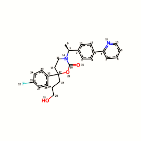 C[C@@H](c1ccc(-c2ccccn2)cc1)N1CCC(CCCO)(c2ccc(F)cc2)OC1=O